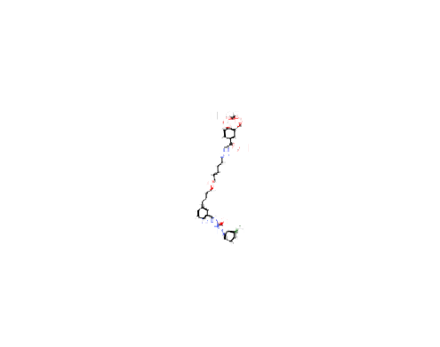 CC1(C)OCc2cc([C@@H](O)CNCCCCCCOCCCCc3cccc(CNC(=O)Nc4cccc(Cl)c4)c3)ccc2O1